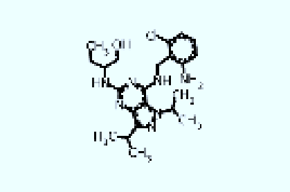 CCC(CO)Nc1nc(NCc2c(N)cccc2Cl)c2c(n1)c(C(C)C)nn2C(C)C